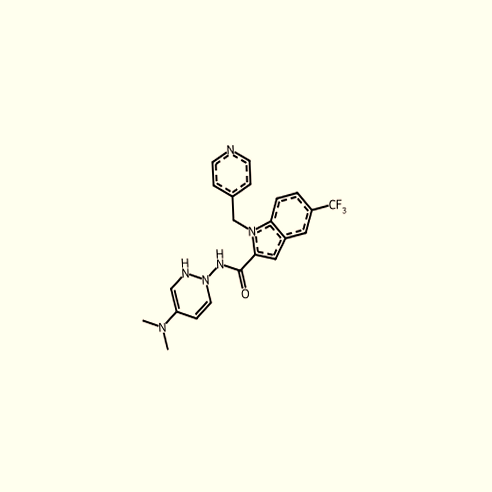 CN(C)C1=CNN(NC(=O)c2cc3cc(C(F)(F)F)ccc3n2Cc2ccncc2)C=C1